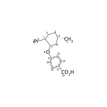 CC(C)C1CC[C@H](C)CC1Oc1ccc(C(=O)O)cc1